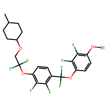 CCOc1ccc(OC(F)(F)c2ccc(OC(F)(F)COC3CCC(C)CC3)c(F)c2F)c(F)c1F